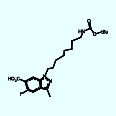 Cc1nn(CCCCCCCCNC(=O)OC(C)(C)C)c2cc(C(=O)O)c(F)cc12